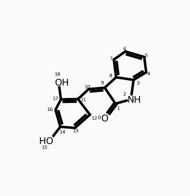 O=C1Nc2ccccc2C1=Cc1ccc(O)cc1O